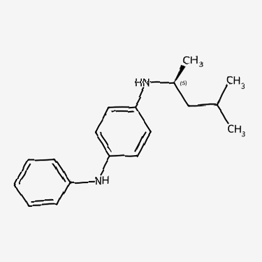 CC(C)C[C@H](C)Nc1ccc(Nc2ccccc2)cc1